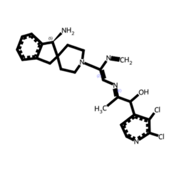 C=N/C(=C\N=C(/C)C(O)c1ccnc(Cl)c1Cl)N1CCC2(CC1)Cc1ccccc1[C@H]2N